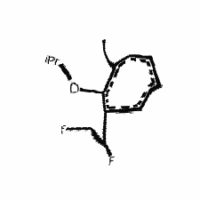 Cc1cccc(C(F)F)c1OC(C)C